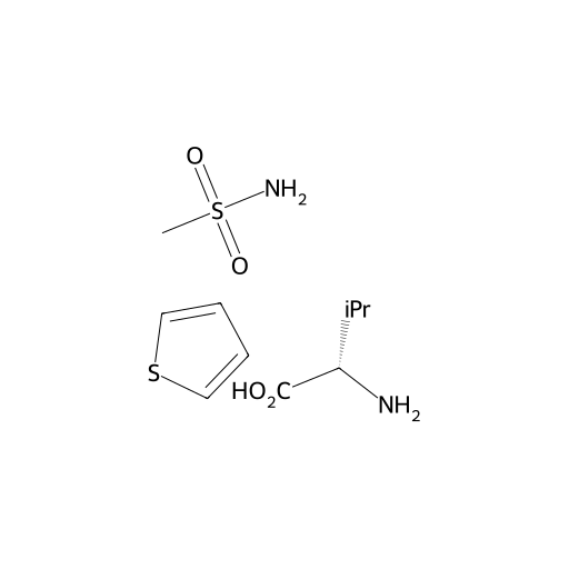 CC(C)[C@H](N)C(=O)O.CS(N)(=O)=O.c1ccsc1